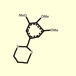 COc1cc(C2SCCCS2)cc(OC)c1OC